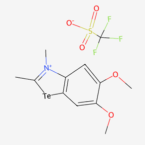 COc1cc2[te]c(C)[n+](C)c2cc1OC.O=S(=O)([O-])C(F)(F)F